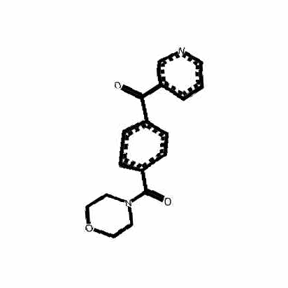 O=C(c1ccc(C(=O)N2CCOCC2)cc1)c1cccnc1